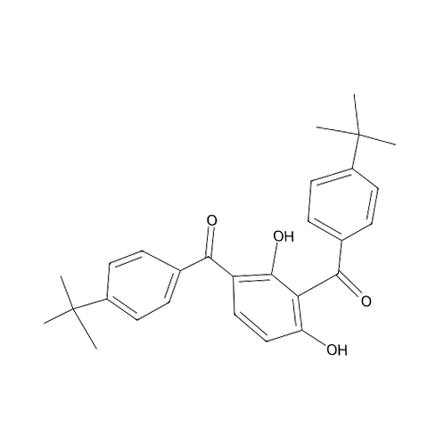 CC(C)(C)c1ccc(C(=O)c2ccc(O)c(C(=O)c3ccc(C(C)(C)C)cc3)c2O)cc1